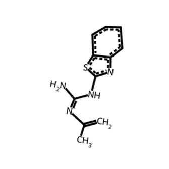 C=C(C)/N=C(/N)Nc1nc2ccccc2s1